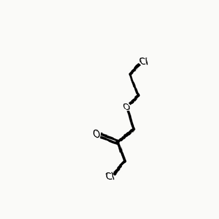 O=C(CCl)COCCCl